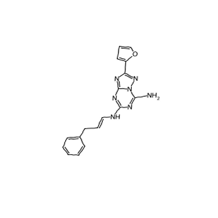 Nc1nc(NC=CCc2ccccc2)nc2nc(-c3ccco3)nn12